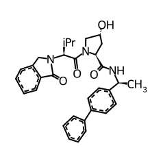 CC(C)[C@@H](C(=O)N1C[C@H](O)C[C@H]1C(=O)N[C@@H](C)c1ccc(-c2ccccc2)cc1)N1Cc2ccccc2C1=O